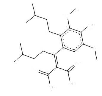 COc1cc(C(CCC(C)C)=C(C(=O)O)C(=O)O)c(CCC(C)C)c(OC)c1O